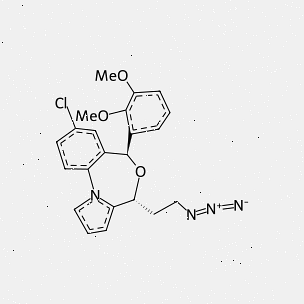 COc1cccc([C@H]2O[C@H](CCN=[N+]=[N-])c3cccn3-c3ccc(Cl)cc32)c1OC